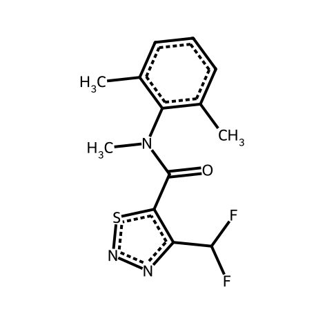 Cc1cccc(C)c1N(C)C(=O)c1snnc1C(F)F